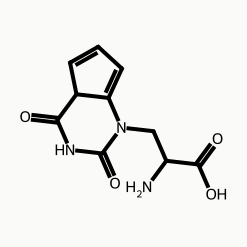 NC(CN1C(=O)NC(=O)C2C=CC=C21)C(=O)O